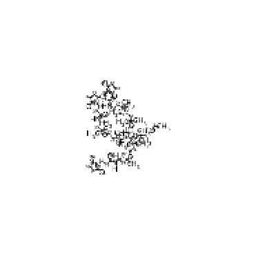 CCOCCC(C)(C)OCC(COC(C)(C)CCOC(C)(C)CCNC(=O)CCN1C(=O)C=CC1=O)(COC(C)(C)CCOC(C)(C)CCNC(=O)CCN1C(=O)C=CC1=O)COC(C)(C)CCOC(C)(C)CCNC(=O)CCN1C(=O)C=CC1=O